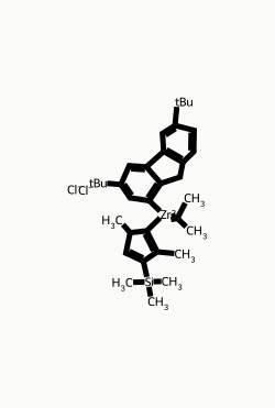 CC1=[C]([Zr+2](=[C](C)C)[c]2cc(C(C)(C)C)cc3c2Cc2ccc(C(C)(C)C)cc2-3)C(C)C=C1[Si](C)(C)C.[Cl-].[Cl-]